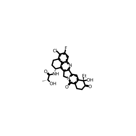 CC[C@@]1(O)C(=O)CCc2c1cc1n(c2=O)Cc2c-1nc1cc(F)c(Cl)c3c1c2[C@H](NC(=O)[C@@H](C)O)CC3